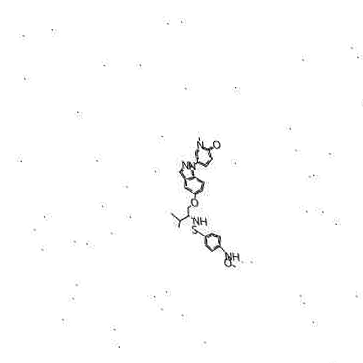 CONc1ccc(SNC(COc2ccc3c(cnn3-c3ccc(=O)n(C)c3)c2)C(C)C)cc1